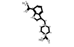 NC(=O)c1cccc2c1OCC2CN1CCN(C(=O)O)CC1